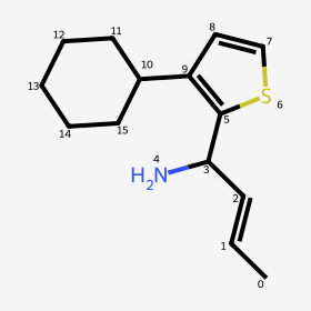 CC=CC(N)c1sccc1C1CCCCC1